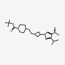 CC(C)(C)OC(=O)N1CCC(CCN2CC(n3cc([N+](=O)[O-])c(C(F)F)n3)C2)CC1